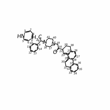 C1=CC=CNC=C1.CC(c1ccccc1)N1CCN(CC(=O)C2C=c3c(ccc4c3=CCc3ccccc3-4)CC2)CC1